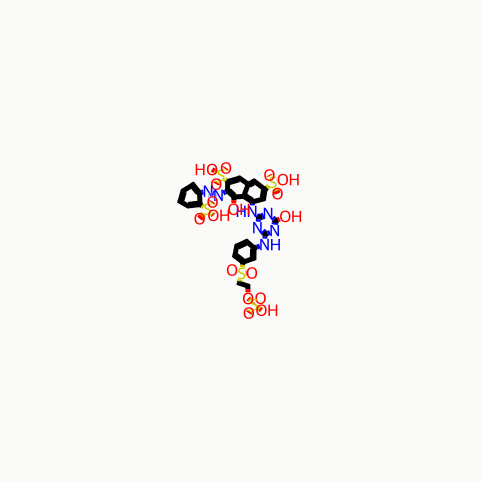 O=S(=O)(O)OCCS(=O)(=O)c1cccc(Nc2nc(O)nc(Nc3cc(S(=O)(=O)O)cc4cc(S(=O)(=O)O)c(/N=N/c5ccccc5S(=O)(=O)O)c(O)c34)n2)c1